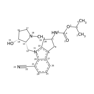 CC(C)OC(=O)NC1Cc2c(n(C[C@@H]3[C@H](O)CCN3C)c3c(C#N)cccc23)C1